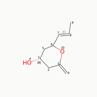 C=C1C[C@H](O)CC(/C=C/C)O1